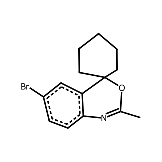 CC1=Nc2ccc(Br)cc2C2(CCCCC2)O1